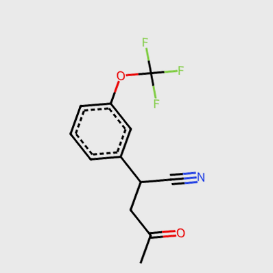 CC(=O)CC(C#N)c1cccc(OC(F)(F)F)c1